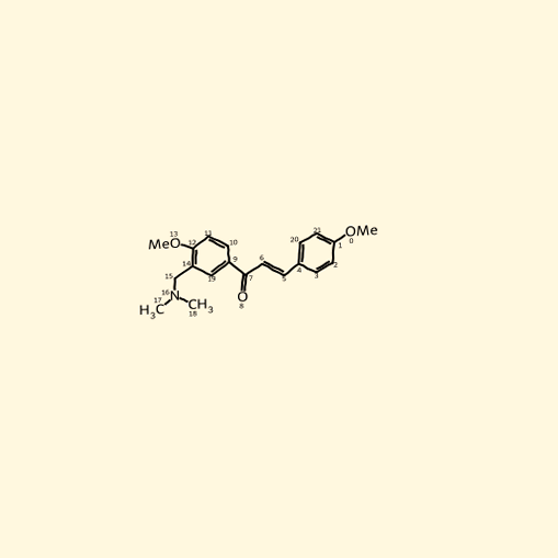 COc1ccc(C=CC(=O)c2ccc(OC)c(CN(C)C)c2)cc1